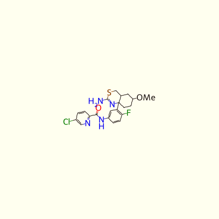 COC1CCC2(c3cc(NC(=O)c4ccc(Cl)cn4)ccc3F)N=C(N)SCC2C1